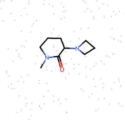 CN1CCCC(N2CCC2)C1=O